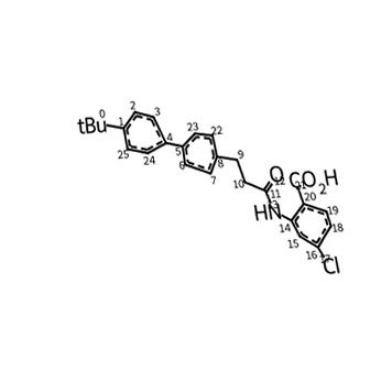 CC(C)(C)c1ccc(-c2ccc(CCC(=O)Nc3cc(Cl)ccc3C(=O)O)cc2)cc1